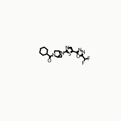 O=C(C1CCCCC1)N1CC2CC1CN2c1ncc(-c2nnc(C(F)F)o2)s1